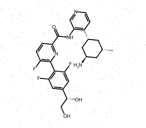 C[C@@H]1C[C@@H](N)C[C@H](c2ccncc2NC(=O)c2ccc(F)c(-c3c(F)cc([C@H](O)CO)cc3F)n2)C1